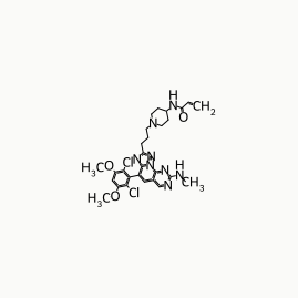 C=CC(=O)NC1CCN(CCCc2nc3c(-c4c(Cl)c(OC)cc(OC)c4Cl)cc4cnc(NC)nc4n3n2)CC1